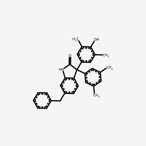 Cc1cc(C)cc(C2(c3cc(C)c(O)c(C)c3)C(=O)Nc3cc(Cc4ccccc4)ccc32)c1